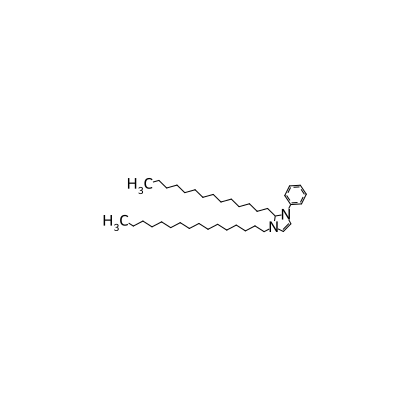 CCCCCCCCCCCCCCCCN1C=CN(c2ccccc2)C1CCCCCCCCCCCCCC